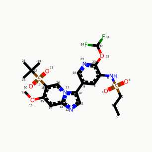 CCCS(=O)(=O)Nc1cc(-c2cnc3cc(OC)c(S(=O)(=O)C(C)(C)C)cn23)cnc1OC(F)F